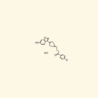 Cl.O=C(CCCN1CCN(c2noc3cc(O)ccc23)CC1)c1ccc(F)cc1